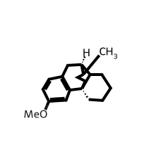 COc1ccc2c(c1)[C@]13CCCCC1[C@H](C2)C(C)CC3